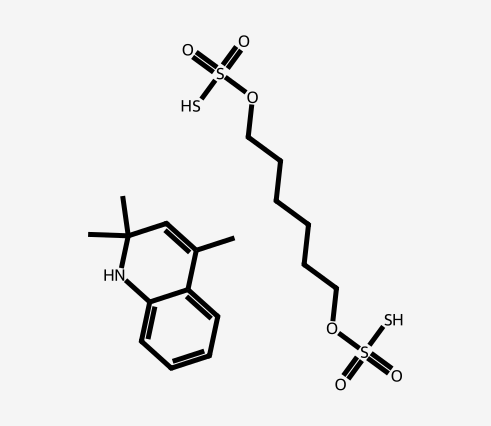 CC1=CC(C)(C)Nc2ccccc21.O=S(=O)(S)OCCCCCCOS(=O)(=O)S